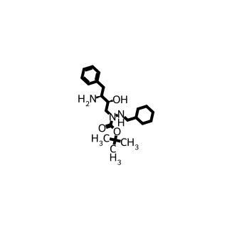 CC(C)(C)OC(=O)N(C[C@H](O)[C@@H](N)Cc1ccccc1)NCC1CCCCC1